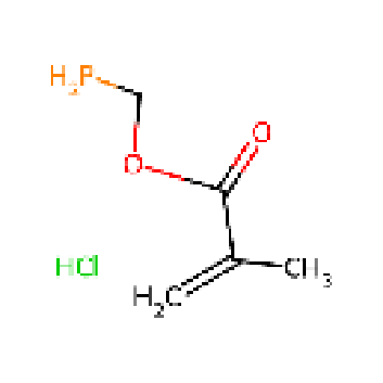 C=C(C)C(=O)OCP.Cl